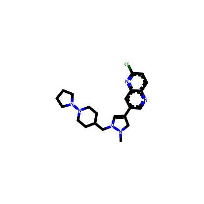 CN1CC(c2cnc3ccc(Cl)nc3c2)=CN1CC1CCN(N2CCCC2)CC1